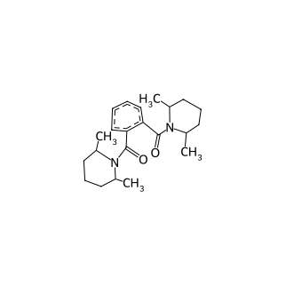 CC1CCCC(C)N1C(=O)c1ccccc1C(=O)N1C(C)CCCC1C